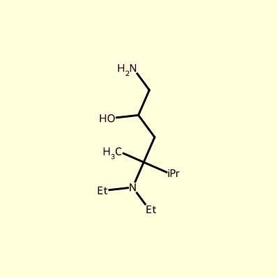 CCN(CC)C(C)(CC(O)CN)C(C)C